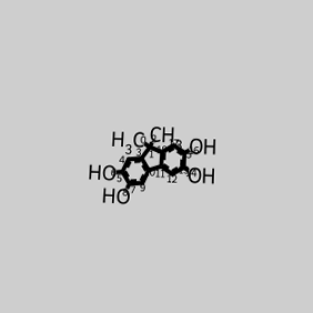 CC1(C)c2cc(O)c(O)cc2-c2cc(O)c(O)cc21